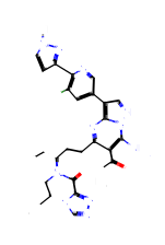 CCCN(C(=O)c1nnc[nH]1)[C@H](CC)CCc1nc2c(-c3cnc(-c4ccn(C)n4)c(F)c3)cnn2c(N)c1C(C)=O